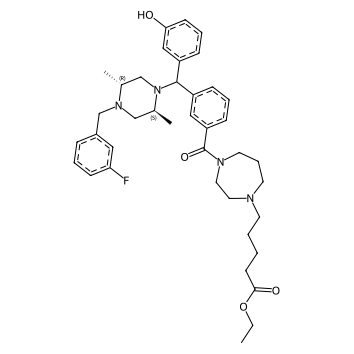 CCOC(=O)CCCCN1CCCN(C(=O)c2cccc(C(c3cccc(O)c3)N3C[C@@H](C)N(Cc4cccc(F)c4)C[C@@H]3C)c2)CC1